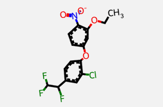 CCOc1cc(Oc2ccc(C(F)C(F)F)cc2Cl)ccc1[N+](=O)[O-]